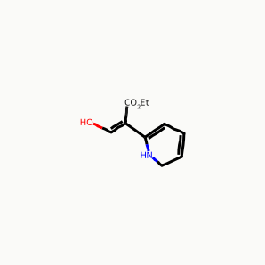 CCOC(=O)/C(=C\O)C1=CC=CCN1